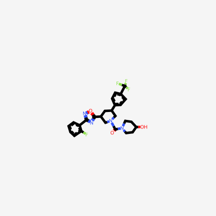 O=C(N1CCC(O)CC1)N1CC(c2ccc(C(F)(F)F)cc2)CC(c2nc(-c3ccccc3F)no2)C1